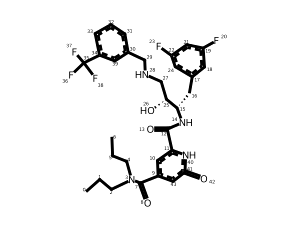 CCCN(CCC)C(=O)c1cc(C(=O)N[C@@H](Cc2cc(F)cc(F)c2)[C@H](O)CNCc2cccc(C(F)(F)F)c2)[nH]c(=O)c1